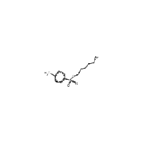 CC(=O)CCCCCOS(=O)(=O)c1ccc(C)cc1